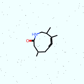 CC1=C=CCC(C)CC(=O)NCC1C